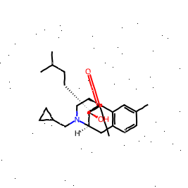 Cc1ccc2c(c1)[C@]13CCN(CC4CC4)[C@H](C2)[C@]1(O)C[C@H](CCC(C)C)C(=O)C3